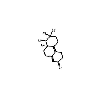 CCC1[C@@H]2CCC3=CC(=O)CCC3=C2CCC1(CC)CC